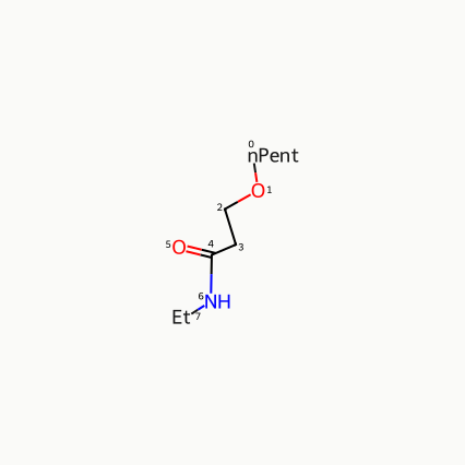 CCCCCOCCC(=O)NCC